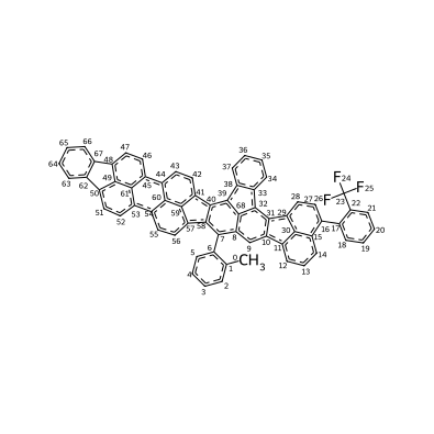 Cc1ccccc1-c1c2cc3c4cccc5c(-c6ccccc6C(F)(F)F)ccc(c54)c3c3c4ccccc4c(c4c5ccc6c7ccc8c9c(ccc(c%10ccc(c14)c5c%106)c97)-c1ccccc1-8)c23